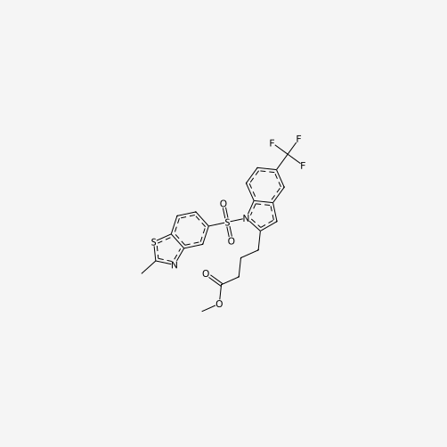 COC(=O)CCCc1cc2cc(C(F)(F)F)ccc2n1S(=O)(=O)c1ccc2sc(C)nc2c1